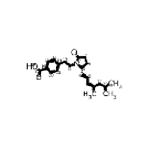 CC(=CC=C[C@H]1CCC(=O)N1CCc1ccc(C(=O)O)cc1)CC(C)C